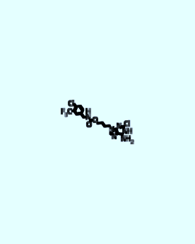 NC1NC(Cl)=Nc2c1ncn2CCCCOC(=O)NCc1ccc(Cl)c(C(F)(F)F)c1